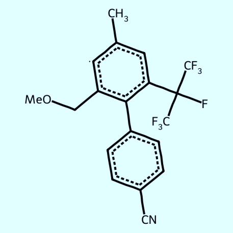 COCc1[c]c(C)cc(C(F)(C(F)(F)F)C(F)(F)F)c1-c1ccc(C#N)cc1